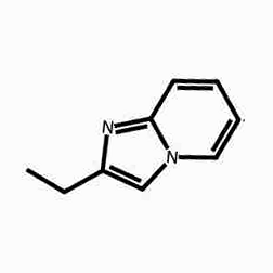 CCc1cn2c[c]ccc2n1